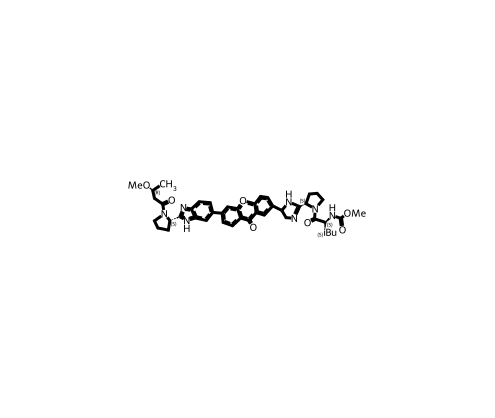 CC[C@H](C)[C@H](NC(=O)OC)C(=O)N1CCC[C@H]1C1=NCC(c2ccc3oc4cc(-c5ccc6nc([C@@H]7CCCN7C(=O)C[C@@H](C)OC)[nH]c6c5)ccc4c(=O)c3c2)N1